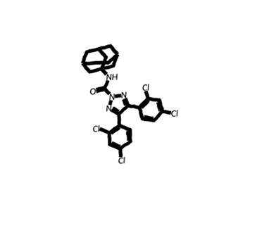 O=C(NC12CC3CC(CC(C3)C1)C2)n1nc(-c2ccc(Cl)cc2Cl)c(-c2ccc(Cl)cc2Cl)n1